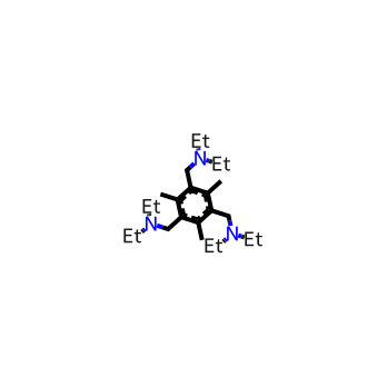 CCN(CC)Cc1c(C)c(CN(CC)CC)c(C)c(CN(CC)CC)c1C